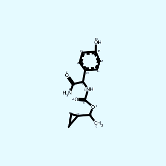 CC(OC(=O)NC(C(N)=O)c1ccc(O)cc1)C1CC1